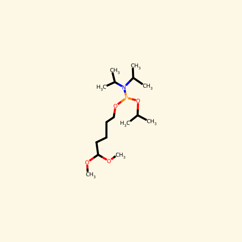 COC(CCCCOP(OC(C)C)N(C(C)C)C(C)C)OC